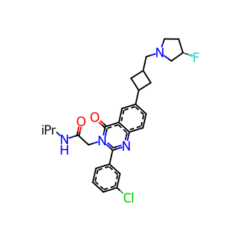 CC(C)NC(=O)Cn1c(-c2cccc(Cl)c2)nc2ccc(C3CC(CN4CC[C@@H](F)C4)C3)cc2c1=O